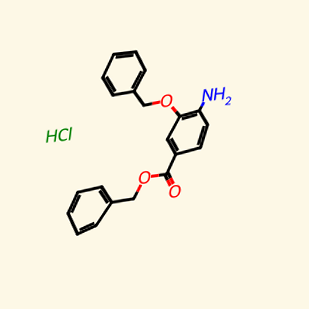 Cl.Nc1ccc(C(=O)OCc2ccccc2)cc1OCc1ccccc1